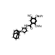 CCCOc1cc(OC)c(C(=O)N[C@H]2CCN(C3C4CC5CC(C4)CC3C5)C2)cc1C#N